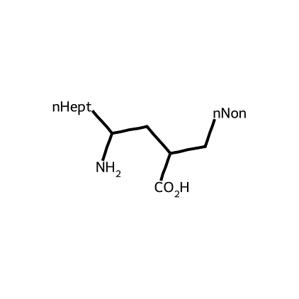 CCCCCCCCCCC(CC(N)CCCCCCC)C(=O)O